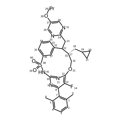 Cc1cccc(C)c1-c1nc2nc(c1F)OC[C@@H](CC1CC1)C(Cc1ncc(OC(C)C)cn1)c1cccc(c1)S(=O)(=O)N2